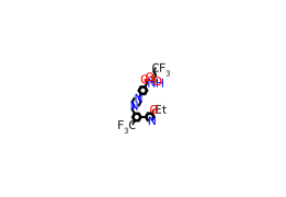 CCOc1cncc(-c2cc(CN3CCN(c4ccc(C(=O)NS(=O)(=O)CCC(F)(F)F)cc4)CC3)cc(C(F)(F)F)c2)c1